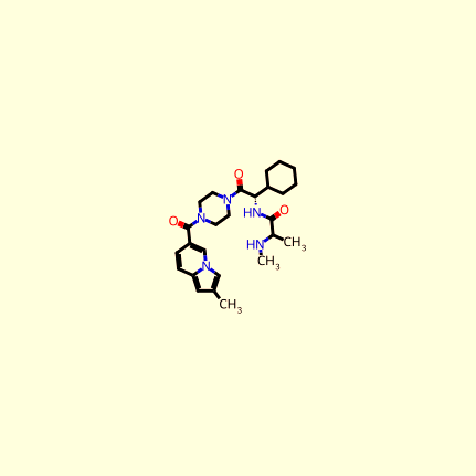 CNC(C)C(=O)N[C@H](C(=O)N1CCN(C(=O)c2ccc3cc(C)cn3c2)CC1)C1CCCCC1